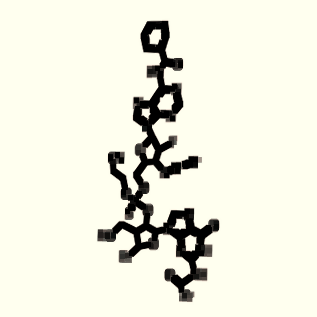 CCC1OC(n2cnc3c(=O)[nH]c(NC(=O)C(C)C)nc32)C(OP(=S)(OCCC#N)OCC2OC(n3cnc4c(NC(=O)c5ccccc5)ncnc43)C(F)C2N=[N+]=[N-])C1CO